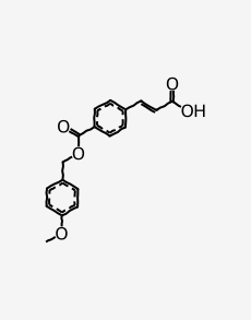 COc1ccc(COC(=O)c2ccc(C=CC(=O)O)cc2)cc1